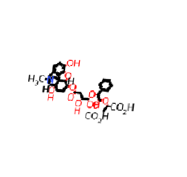 CN1CCC23c4c5ccc(O)c4O[C@H]2C(OC(=O)C[C@H](O)C(O)O[C@H](C(=O)O[C@H](CC(=O)O)C(=O)O)c2ccccc2)=CC[C@@]3(O)[C@H]1C5